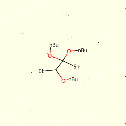 CCCCOC(CC)[C]([Sn])(OCCCC)OCCCC